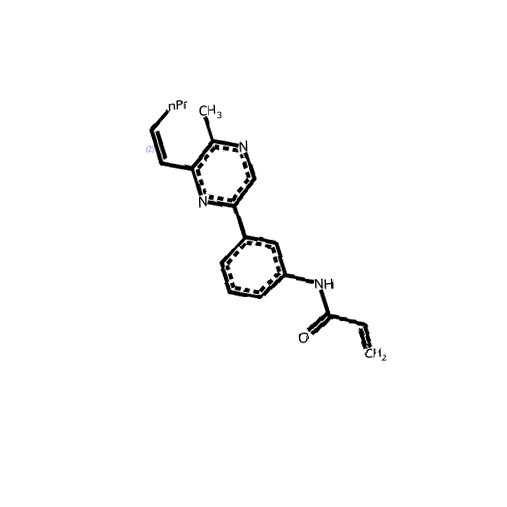 C=CC(=O)Nc1cccc(-c2cnc(C)c(/C=C\CCC)n2)c1